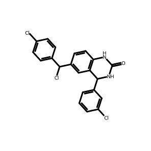 O=C1Nc2ccc(C(Cl)c3ccc(Cl)cc3)cc2C(c2cccc(Cl)c2)N1